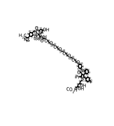 Cc1ncsc1-c1ccc(CNC(=O)[C@@H]2C[C@@H](O)CN2C(=O)[C@@H](NC(=O)COCCOCCOCCOCCOCCOCCOCCOc2ccc(NC(=O)c3c(-c4ccccc4)c(-c4ccc(F)cc4)n(CC[C@H](O)C[C@H](O)CC(=O)O)c3C(C)C)cc2)C(C)(C)C)cc1